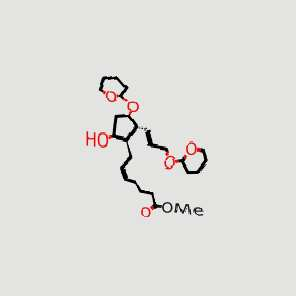 COC(=O)CCC/C=C\C[C@@H]1[C@@H](/C=C/COC2CCCCO2)[C@H](OC2CCCCO2)C[C@@H]1O